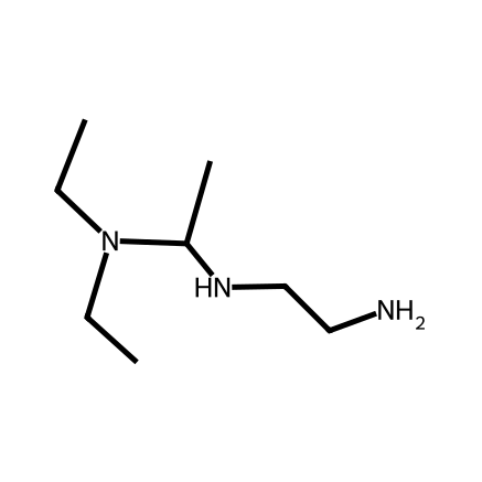 CCN(CC)C(C)NCCN